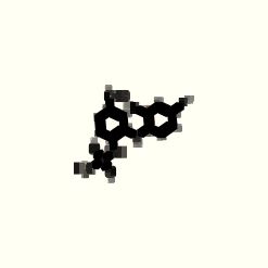 CS(=O)(=O)Nc1ccc(C=O)cc1Sc1ccc(F)cc1F